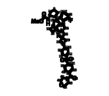 COC(=O)N[C@H]1CCC[C@@H]1C(CN1CCC1)(c1cccc(F)c1)C1CCN(CC2(F)CN(c3ccc(S(=O)(=O)c4ccc(C(=O)N5CCOCC5)cc4)cc3)C2)CC1